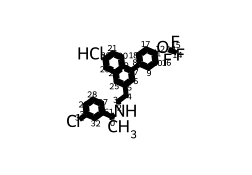 CC(NCCc1cc(-c2ccc(OC(F)(F)F)cc2)c2ccccc2c1)c1cccc(Cl)c1.Cl